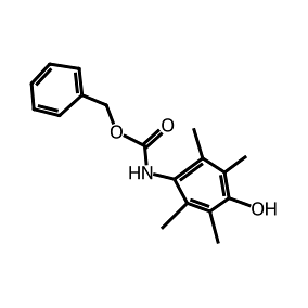 Cc1c(C)c(NC(=O)OCc2ccccc2)c(C)c(C)c1O